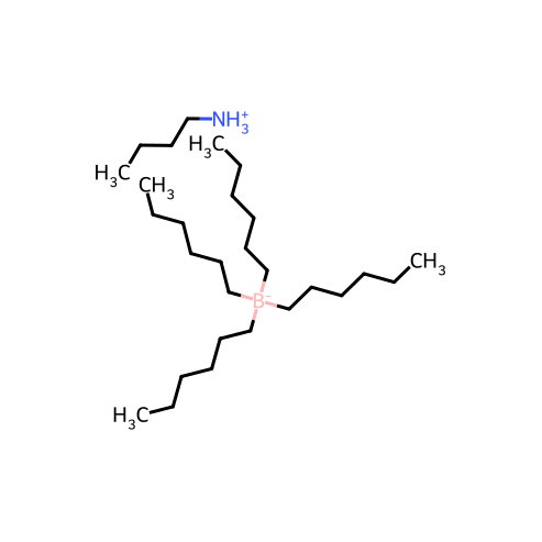 CCCCCC[B-](CCCCCC)(CCCCCC)CCCCCC.CCCC[NH3+]